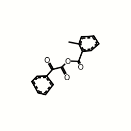 Cc1ccccc1C(=O)OC(=O)C(=O)c1ccccc1